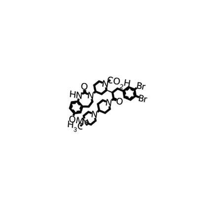 COc1ccc2c(c1)CCN(C1CCN(C(=O)O)[C@@H](C(Cc3ccc(Br)c(Br)c3)C(=O)N3CCC(N4CCN(C)CC4)CC3)C1)C(=O)N2